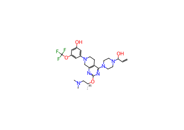 C=CC(O)N1CCN(c2nc(O[C@H](C)CN(C)C)nc3c2CCN(c2cc(O)cc(OC(F)(F)F)c2)C3)CC1